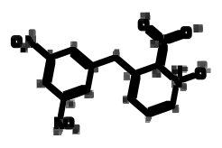 O=[N+]([O-])c1cc(CC2=CC=C[NH+]([O-])C2=S(=O)=O)cc([N+](=O)[O-])c1